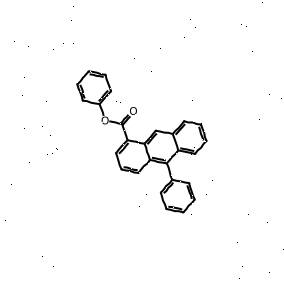 O=C(Oc1ccccc1)c1cccc2c(-c3ccccc3)c3ccccc3cc12